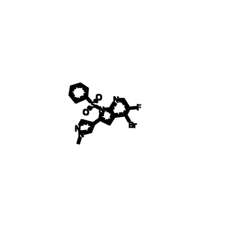 Cn1cc(-c2cc3c(Br)c(F)cnc3n2S(=O)(=O)c2ccccc2)cn1